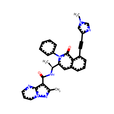 Cc1nn2cccnc2c1C(=O)N[C@@H](C)c1cc2cccc(C#Cc3cn(C)cn3)c2c(=O)n1-c1ccccc1